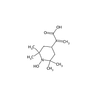 C=C(C(=O)O)C1CC(C)(C)N(O)C(C)(C)C1